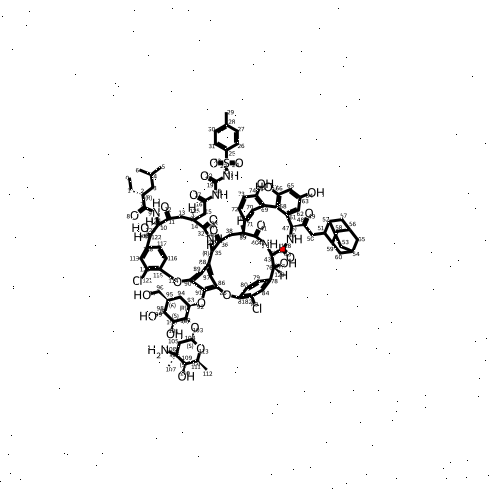 CC[C@H](CC(C)C)C(=O)N[C@H]1C(=O)C[C@@H](CC(=O)NC(=O)NS(=O)(=O)c2ccc(C)cc2)C(=O)N[C@H]2C(=O)C[C@H]3C(=O)N[C@H](C(=O)N[C@H](C(=O)CC4C5CC6CC(C5)CC4C6)c4cc(O)cc(O)c4-c4cc3ccc4O)[C@H](O)c3ccc(c(Cl)c3)Oc3cc2cc(c3O[C@@H]2C[C@H](CO)[C@@H](O)[C@H](O)[C@H]2O[C@H]2C[C@](C)(N)[C@H](O)[C@H](C)O2)Oc2ccc(cc2Cl)[C@H]1O